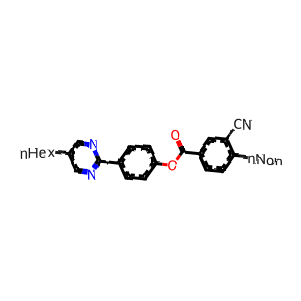 CCCCCCCCCc1ccc(C(=O)Oc2ccc(-c3ncc(CCCCCC)cn3)cc2)cc1C#N